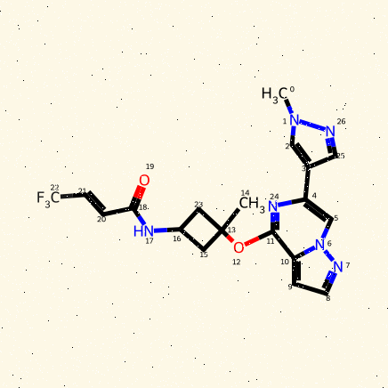 Cn1cc(-c2cn3nccc3c(OC3(C)CC(NC(=O)/C=C/C(F)(F)F)C3)n2)cn1